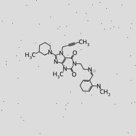 C=NC1=CCCC=C1/C=N\CCn1c(=O)c2c(nc(N3CCCC(C)C3)n2CC#CC)n(C)c1=O